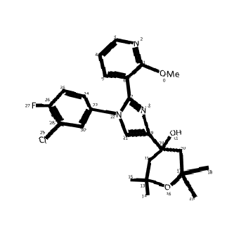 COc1ncccc1-c1nc(C2(O)CC(C)(C)OC(C)(C)C2)cn1-c1ccc(F)c(Cl)c1